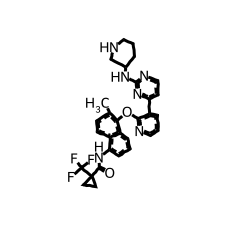 Cc1ccc2c(NC(=O)C3(C(F)(F)F)CC3)cccc2c1Oc1ncccc1-c1ccnc(NC2CCCNC2)n1